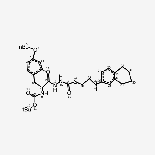 CCCCOc1ccc(C[C@H](NC(=O)OC(C)(C)C)C(=O)NNC(=O)SCCNc2ccc3c(c2)CCCC3)cc1